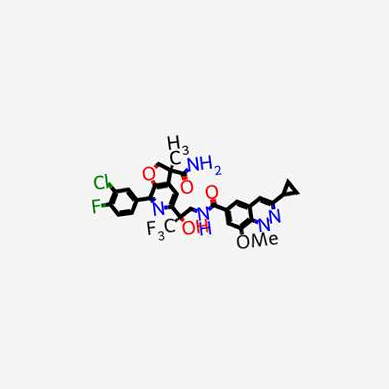 COc1cc(C(=O)NC[C@](O)(c2cc3c(c(-c4ccc(F)c(Cl)c4)n2)OC[C@]3(C)C(N)=O)C(F)(F)F)cc2cc(C3CC3)nnc12